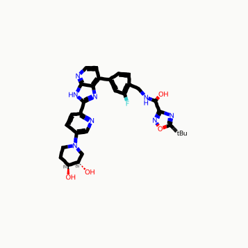 CC(C)(C)c1nc(C(O)NCc2ccc(-c3ccnc4[nH]c(-c5ccc(N6CC[C@H](O)[C@@H](O)C6)cn5)nc34)cc2F)no1